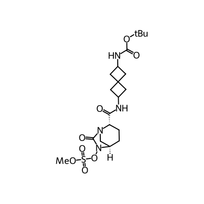 COS(=O)(=O)ON1C(=O)N2C[C@H]1CC[C@H]2C(=O)NC1CC2(CC(NC(=O)OC(C)(C)C)C2)C1